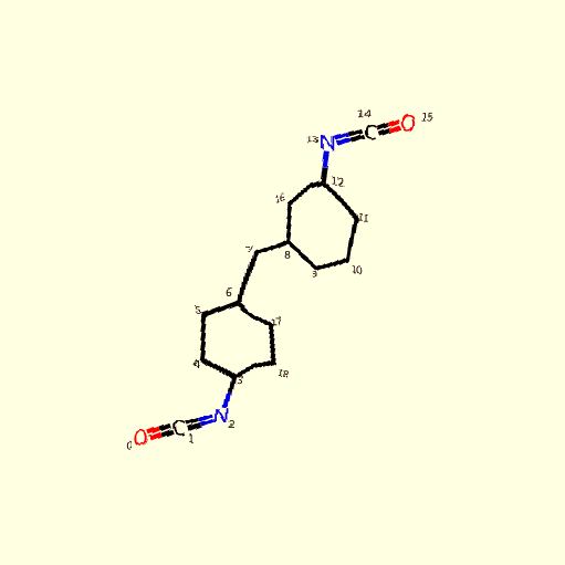 O=C=NC1CCC(CC2CCCC(N=C=O)C2)CC1